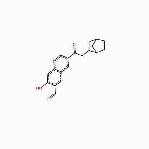 O=Cc1cc2cc(C(=O)CC3CC4C=CC3C4)ccc2cc1O